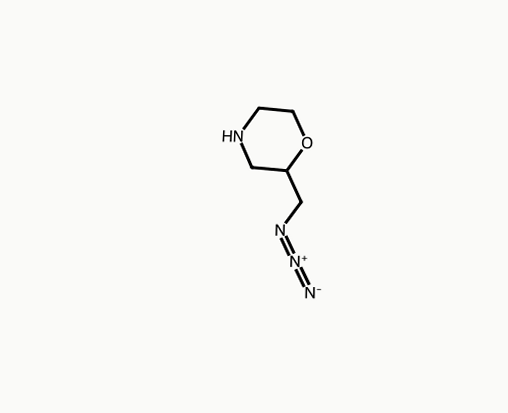 [N-]=[N+]=NCC1CNCCO1